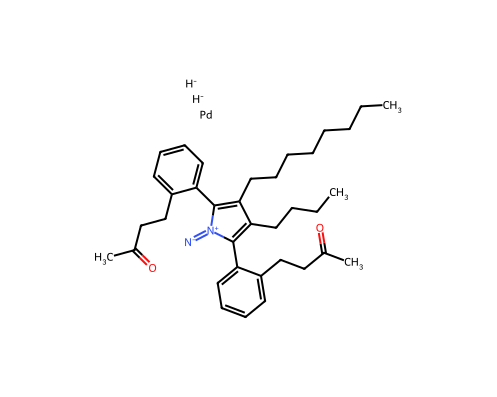 CCCCCCCCC1=C(c2ccccc2CCC(C)=O)[N+](=[N-])C(c2ccccc2CCC(C)=O)=C1CCCC.[H-].[H-].[Pd]